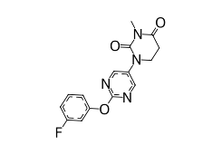 CN1C(=O)CCN(c2cnc(Oc3cccc(F)c3)nc2)C1=O